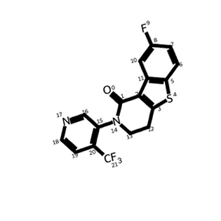 O=C1c2c(sc3ccc(F)cc23)CCN1c1cnccc1C(F)(F)F